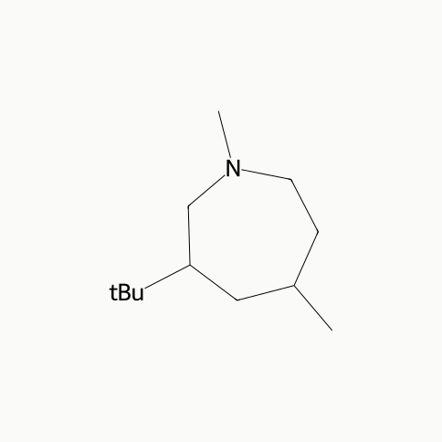 CC1CCN(C)CC(C(C)(C)C)C1